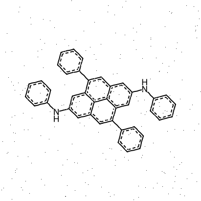 c1ccc(Nc2cc3cc(-c4ccccc4)c4cc(Nc5ccccc5)cc5cc(-c6ccccc6)c(c2)c3c54)cc1